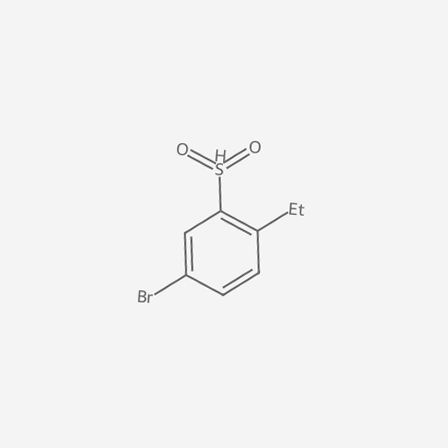 CCc1ccc(Br)cc1[SH](=O)=O